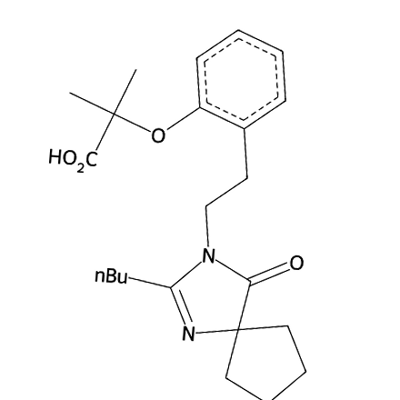 CCCCC1=NC2(CCCC2)C(=O)N1CCc1ccccc1OC(C)(C)C(=O)O